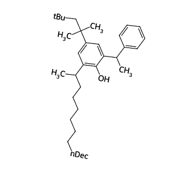 CCCCCCCCCCCCCCCCC(C)c1cc(C(C)(C)CC(C)(C)C)cc(C(C)c2ccccc2)c1O